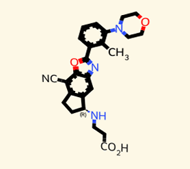 Cc1c(-c2nc3cc4c(c(C#N)c3o2)CC[C@H]4NCCC(=O)O)cccc1N1CCOCC1